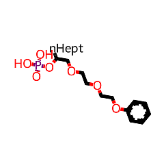 CCCCCCCC(COCCOCCOc1ccccc1)OP(=O)(O)O